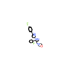 Fc1ccc(-c2ccc(-n3ncc(CN4CCOCC4)c3-c3ccccc3F)cn2)cc1